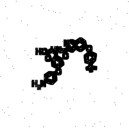 CC(C)(C)c1ccc(Oc2ccc3cnc(C(=O)NC(CC(=O)O)c4ccc(Oc5ccc(N)cc5)cc4)cc3c2)cc1